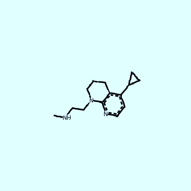 CNCCN1CCCc2c(C3CC3)ccnc21